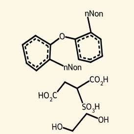 CCCCCCCCCc1ccccc1Oc1ccccc1CCCCCCCCC.O=C(O)CC(C(=O)O)S(=O)(=O)O.OCCO